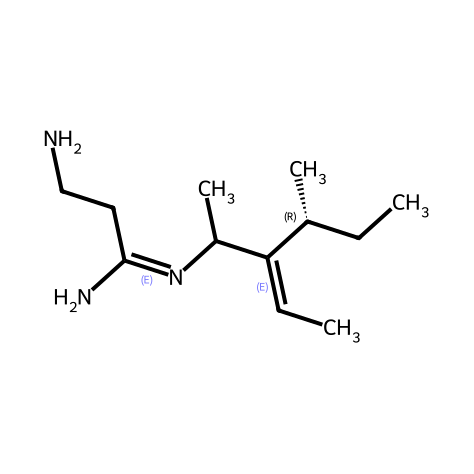 C/C=C(/C(C)/N=C(/N)CCN)[C@H](C)CC